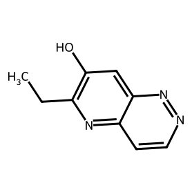 CCc1nc2ccnnc2cc1O